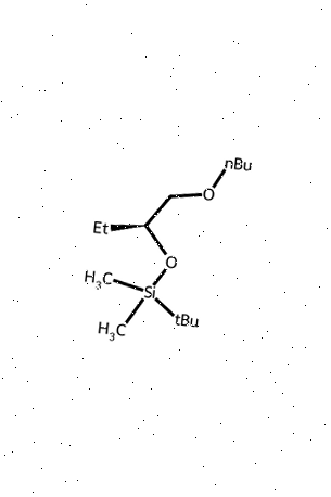 CCCCOC[C@H](CC)O[Si](C)(C)C(C)(C)C